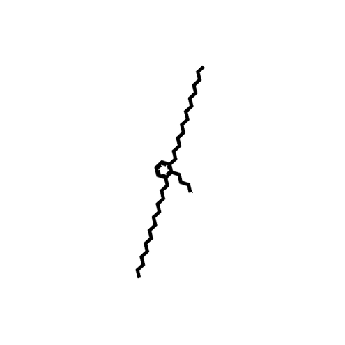 [CH2]CCCc1c(CCCCCCCCCCCCCCC)cccc1CCCCCCCCCCCCCCC